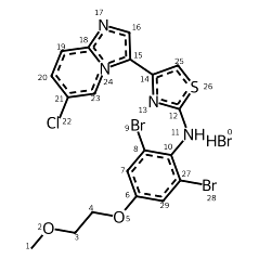 Br.COCCOc1cc(Br)c(Nc2nc(-c3cnc4ccc(Cl)cn34)cs2)c(Br)c1